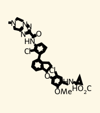 COc1cc(OC2CCc3c(-c4cccc(NC(=O)c5nc6n(n5)CCN(C)C6)c4Cl)cccc32)c(Cl)cc1CNC1(C(=O)O)CC1